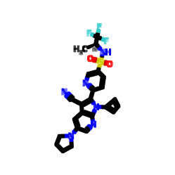 C[C@H](NS(=O)(=O)c1ccc(-c2c(C#N)c3cc(N4CCCC4)cnc3n2C2=CC=C2)nc1)C(F)(F)F